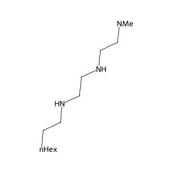 CCCCCCCCNCCNCCNC